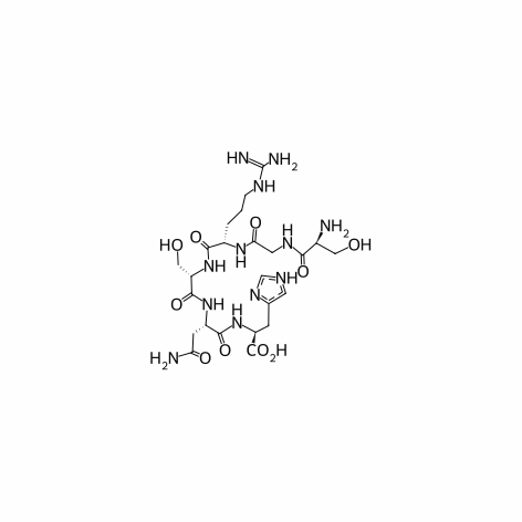 N=C(N)NCCC[C@H](NC(=O)CNC(=O)[C@@H](N)CO)C(=O)N[C@@H](CO)C(=O)N[C@@H](CC(N)=O)C(=O)N[C@@H](Cc1c[nH]cn1)C(=O)O